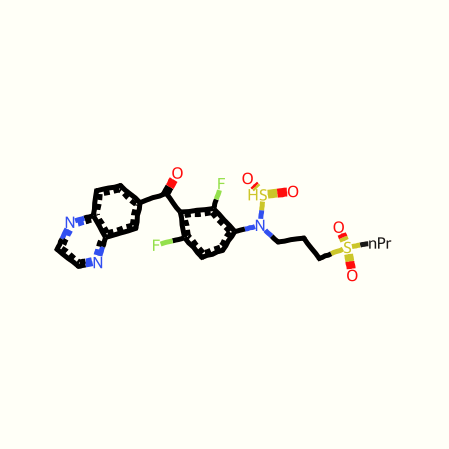 CCCS(=O)(=O)CCCN(c1ccc(F)c(C(=O)c2ccc3nccnc3c2)c1F)[SH](=O)=O